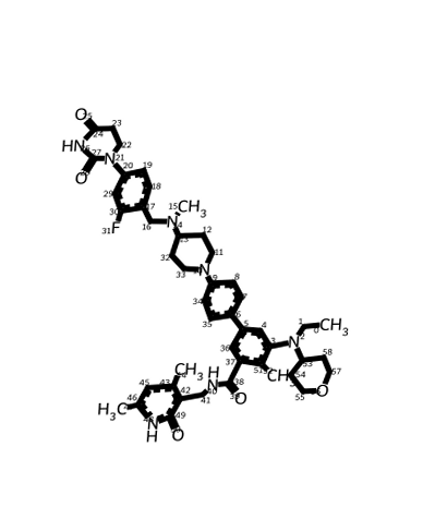 CCN(c1cc(-c2ccc(N3CCC(N(C)Cc4ccc(N5CCC(=O)NC5=O)cc4F)CC3)cc2)cc(C(=O)NCc2c(C)cc(C)[nH]c2=O)c1C)C1CCOCC1